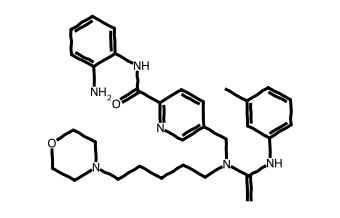 C=C(Nc1cccc(C)c1)N(CCCCCN1CCOCC1)Cc1ccc(C(=O)Nc2ccccc2N)nc1